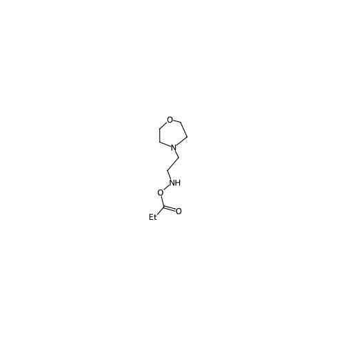 CCC(=O)ONCCN1CCOCC1